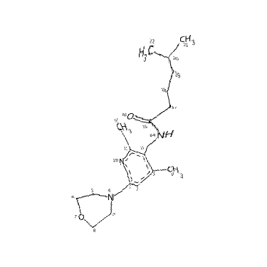 Cc1cc(N2CCOCC2)nc(C)c1NC(=O)CCCC(C)C